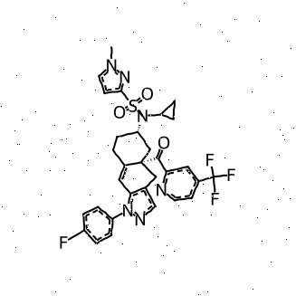 Cn1ccc(S(=O)(=O)N(C2CC2)[C@H]2CCC3=Cc4c(cnn4-c4ccc(F)cc4)C[C@]3(C(=O)c3cc(C(F)(F)F)ccn3)C2)n1